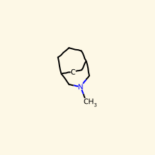 CN1CC2CCCC(CC2)C1